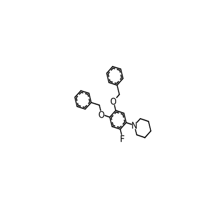 Fc1cc(OCc2ccccc2)c(OCc2ccccc2)cc1N1CCCCC1